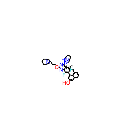 C#Cc1cccc2cc(O)cc(-c3c(F)cc4c(N5CC6CCC(C5)N6)nc(OCCCN5C6CCCC5CC6)nc4c3F)c12